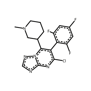 CN1[CH][C](c2c(-c3c(F)cc(F)cc3F)c(Cl)nc3ncnn23)CCC1